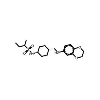 CCC(C)S(=O)(=O)N[C@H]1CC[C@H](CNc2ccc3c(c2)OCCO3)CC1